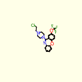 FC(F)(F)Oc1ccc2c(c1)C(N1CCN(CCCl)CC1)=Nc1ccccc1O2